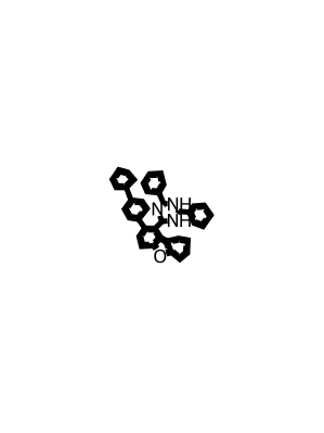 c1ccc(C2=NC(c3c(-c4ccc(-c5ccccc5)cc4)ccc4oc5ccccc5c34)NC(c3ccccc3)N2)cc1